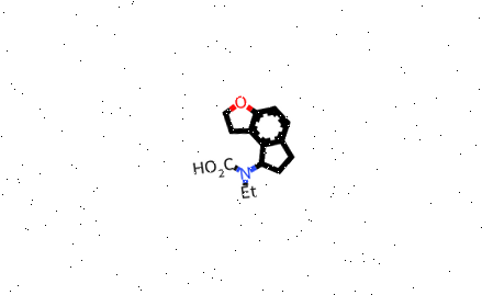 CCN(C(=O)O)C1CCc2ccc3c(c21)CCO3